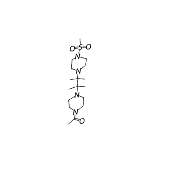 CC(=O)N1CCN(C(C)(C)C(C)(C)N2CCN(S(C)(=O)=O)CC2)CC1